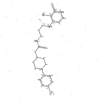 C[C@@H](CONC(=O)CC1CCN(c2ncc(C(F)(F)F)cn2)CC1)Nc1cn[nH]c(=O)c1Br